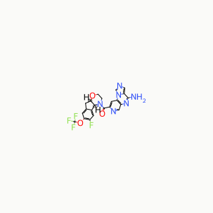 Nc1nc2cnc(C(=O)N3CCO[C@@H]4Cc5cc(OC(F)(F)F)c(F)cc5[C@@H]43)cc2n2cncc12